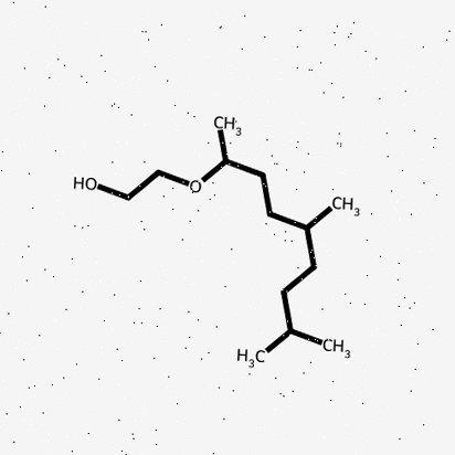 CC(C)CCC(C)CCC(C)OCCO